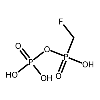 O=P(O)(O)OP(=O)(O)CF